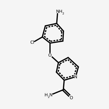 NC(=O)c1cc(Oc2ccc(N)cc2Cl)ccn1